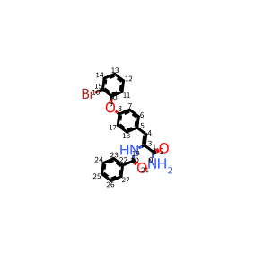 NC(=O)C(=Cc1ccc(Oc2ccccc2Br)cc1)NC(=O)c1ccccc1